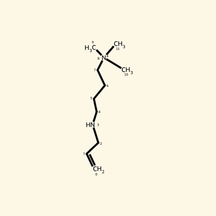 C=CCNCCCC[N+](C)(C)C